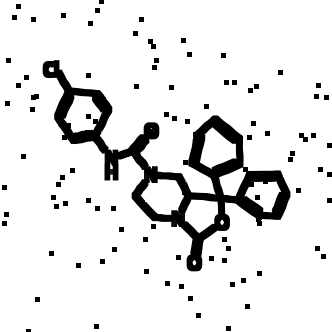 O=C(Nc1ccc(Cl)cc1)N1CCN2C(=O)OC(c3ccccc3)(c3ccccc3)C2C1